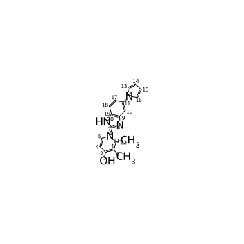 CC1=C(O)C=CN(c2nc3cc(-n4cccc4)ccc3[nH]2)C1C